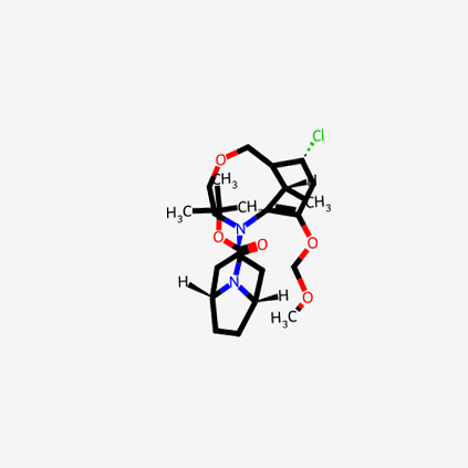 COCOC1=C2[C@@H](C)C(COCCN2[C@@H]2C[C@H]3CC[C@@H](C2)N3C(=O)OC(C)(C)C)[C@H](Cl)C1